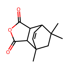 CC1(C)CC2(C)C=CC1C1C(=O)OC(=O)C12